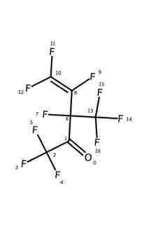 O=C(C(F)(F)F)C(F)(C(F)=C(F)F)C(F)(F)F